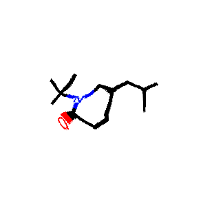 CC(C)CC1CCC(=O)N(C(C)(C)C)C1